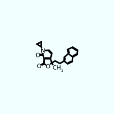 CC1(CCc2ccc3ccccc3c2)OC(=O)c2c1ccn(C1CC1)c2=O